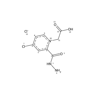 NNC(=O)c1cc(Cl)cc[n+]1CC(=O)O.[Cl-]